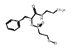 CCOCC[PH](=O)O[C@@H](Cc1ccccc1)C(=O)NCCC(=O)O